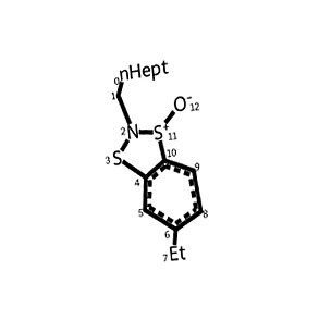 CCCCCCCCN1Sc2cc(CC)ccc2[S+]1[O-]